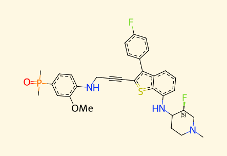 COc1cc(P(C)(C)=O)ccc1NCC#Cc1sc2c(NC3CCN(C)C[C@@H]3F)cccc2c1-c1ccc(F)cc1